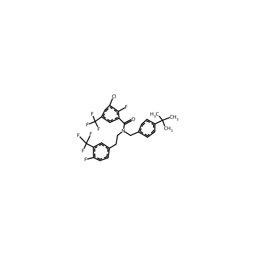 CC(C)(C)c1ccc(CN(CCc2ccc(F)c(C(F)(F)F)c2)C(=O)c2cc(C(F)(F)F)cc(Cl)c2F)cc1